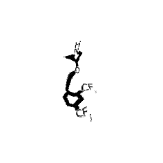 FC(F)(F)c1ccc(COC2CNC2)c(C(F)(F)F)c1